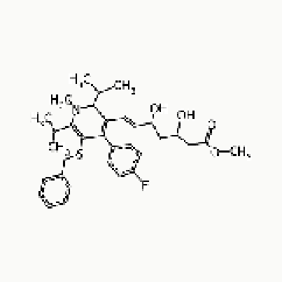 COC(=O)CC(O)CC(O)C=CC1=C(c2ccc(F)cc2)C(SCc2ccccc2)=C(C(C)C)N(C)C1C(C)C